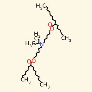 CCCCCCCCC(CCCCCC)C(=O)OCCCCCCN(CCCCCCOC(=O)C(CCCCCC)CCCCCCCC)C(CC)CC